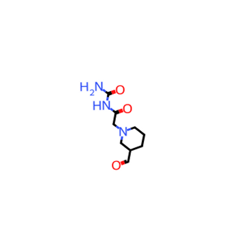 NC(=O)NC(=O)CN1CCCC(C=O)C1